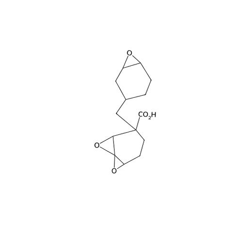 O=C(O)C1(CC2CCC3OC3C2)CCC2OC23OC13